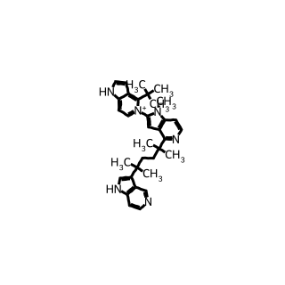 Cn1c(-[n+]2ccc3[nH]ccc3c2C(C)(C)C)cc2c(C(C)(C)CCC(C)(C)c3c[nH]c4ccncc34)nccc21